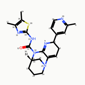 Cc1cc(C2CC=C3C(=N2)N(C(=O)Nc2nc(C)c(C)s2)[C@H]2CCCN3C2)ccn1